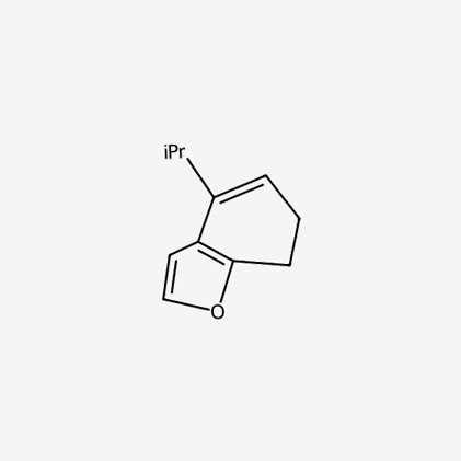 CC(C)C1=CCCc2occc21